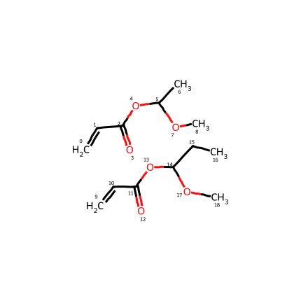 C=CC(=O)OC(C)OC.C=CC(=O)OC(CC)OC